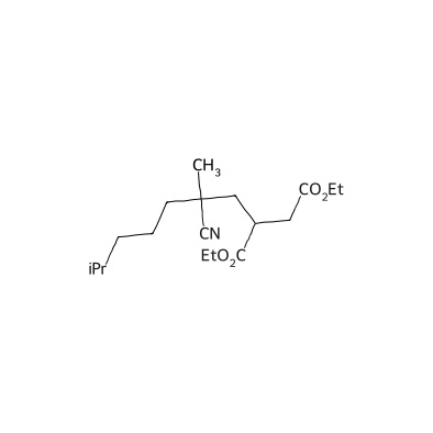 CCOC(=O)CC(CC(C)(C#N)CCCC(C)C)C(=O)OCC